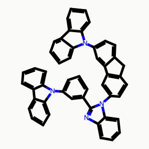 c1cc(-c2nc3ccccc3n2-c2ccc3c(c2)-c2cc(-n4c5ccccc5c5ccccc54)ccc2C3)cc(-n2c3ccccc3c3ccccc32)c1